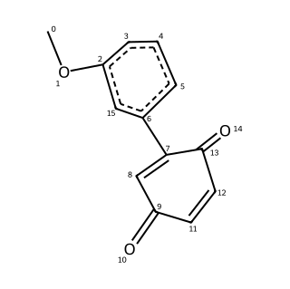 COc1cccc(C2=CC(=O)C=CC2=O)c1